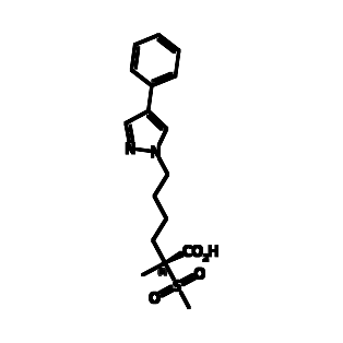 C[C@@](CCCCn1cc(-c2ccccc2)cn1)(C(=O)O)S(C)(=O)=O